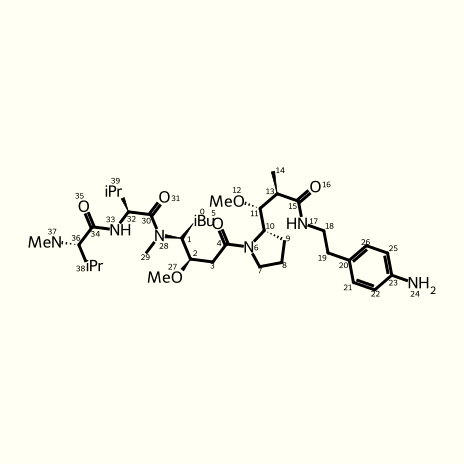 CC[C@H](C)[C@@H]([C@@H](CC(=O)N1CCC[C@H]1[C@H](OC)[C@@H](C)C(=O)NCCc1ccc(N)cc1)OC)N(C)C(=O)[C@@H](NC(=O)[C@@H](NC)C(C)C)C(C)C